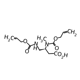 C=CCOC(=O)NC[C@H](CC(=O)O)N(C)C(=O)OCC=C